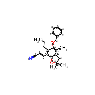 CCCc1c(C=CC#N)c2c(c(C)c1OCc1ccccc1)CC(C)(C)O2